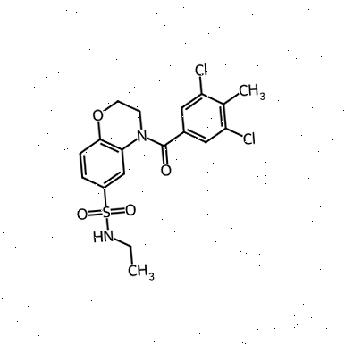 CCNS(=O)(=O)c1ccc2c(c1)N(C(=O)c1cc(Cl)c(C)c(Cl)c1)CCO2